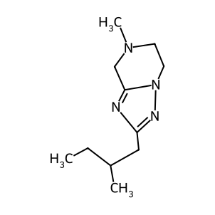 CCC(C)Cc1nc2n(n1)CCN(C)C2